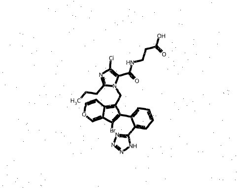 CCCc1nc(Cl)c(C(=O)NCCC(=O)O)n1Cc1c2ccocc-2c(Br)c1-c1ccccc1-c1nnn[nH]1